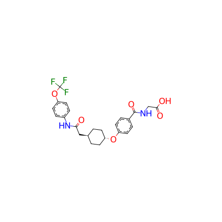 O=C(O)CNC(=O)c1ccc(O[C@H]2CC[C@H](CC(=O)Nc3ccc(OC(F)(F)F)cc3)CC2)cc1